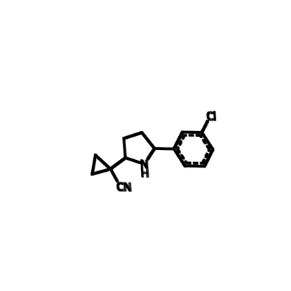 N#CC1(C2CCC(c3cccc(Cl)c3)N2)CC1